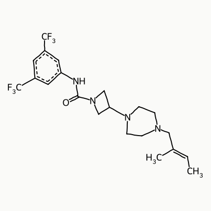 C/C=C(\C)CN1CCN(C2CN(C(=O)Nc3cc(C(F)(F)F)cc(C(F)(F)F)c3)C2)CC1